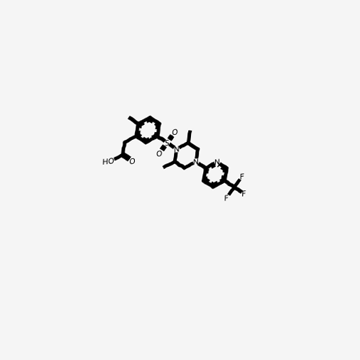 Cc1ccc(S(=O)(=O)N2C(C)CN(c3ccc(C(F)(F)F)cn3)CC2C)cc1CC(=O)O